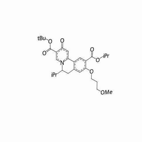 COCCCOc1cc2c(cc1C(=O)OC(C)C)-c1cc(=O)c(C(=O)OC(C)(C)C)cn1C(C(C)C)C2